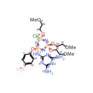 Bc1ccc(OP2(Nc3nc(N)nc(N)n3)=NP(Cl)(OCCOC)=NP(OCCOC)(OCCOC)=N2)cc1